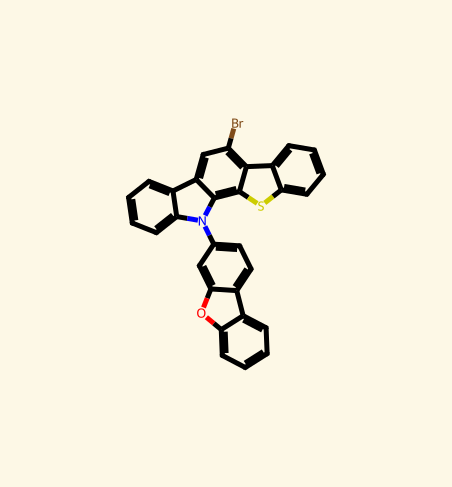 Brc1cc2c3ccccc3n(-c3ccc4c(c3)oc3ccccc34)c2c2sc3ccccc3c12